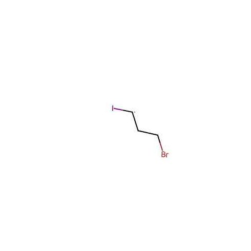 BrCC[CH]I